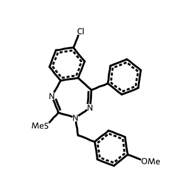 COc1ccc(CN2N=C(c3ccccc3)c3cc(Cl)ccc3N=C2SC)cc1